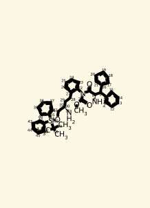 COC(=O)N(C(=O)[C@@H](N)C(c1ccccc1)c1ccccc1)c1ccccc1CC[C@H](N)CO[Si](c1ccccc1)(c1ccccc1)C(C)(C)C